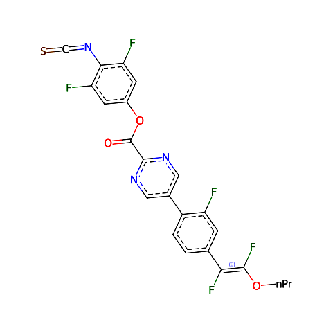 CCCO/C(F)=C(\F)c1ccc(-c2cnc(C(=O)Oc3cc(F)c(N=C=S)c(F)c3)nc2)c(F)c1